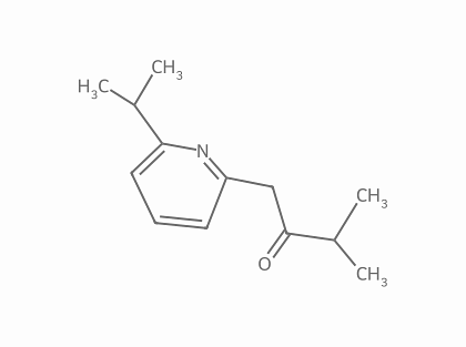 CC(C)C(=O)Cc1cccc(C(C)C)n1